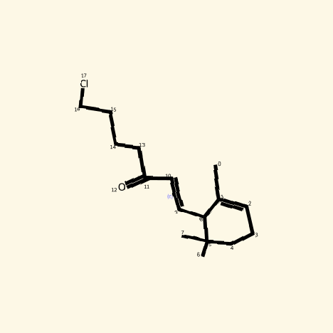 CC1=CCCC(C)(C)C1/C=C/C(=O)CCCCCl